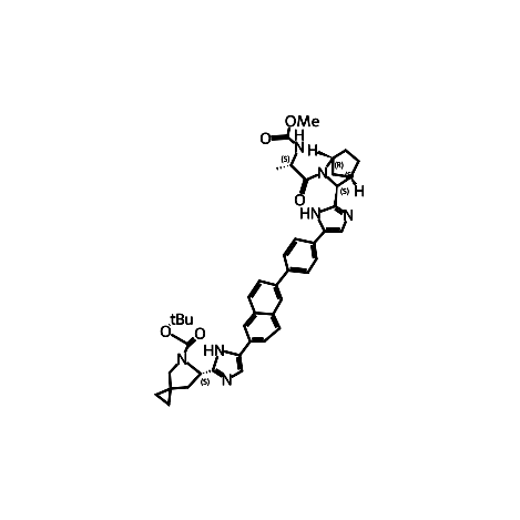 COC(=O)N[C@@H](C)C(=O)N1[C@@H]2CC[C@@H](C2)[C@H]1c1ncc(-c2ccc(-c3ccc4cc(-c5cnc([C@@H]6CC7(CC7)CN6C(=O)OC(C)(C)C)[nH]5)ccc4c3)cc2)[nH]1